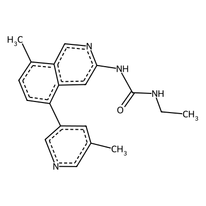 CCNC(=O)Nc1cc2c(-c3cncc(C)c3)ccc(C)c2cn1